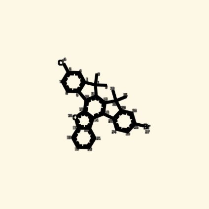 CC1(C)c2cc(Cl)ccc2-c2c1c1c(c3c2oc2ccccc23)-c2ccc(Br)cc2C1(C)C